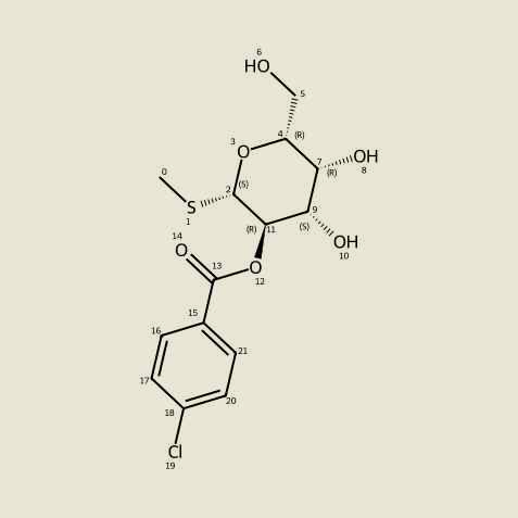 CS[C@@H]1O[C@H](CO)[C@H](O)[C@H](O)[C@H]1OC(=O)c1ccc(Cl)cc1